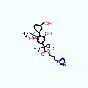 CC(C)[C@@H]1CC=C(CO)C[C@H]1c1c(O)cc(C(C)(C)C(=O)OCCCn2ccnc2)cc1O